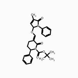 CC1=CC(O/C=C2\CCC(c3ccccc3)N(C(=O)OC(C)(C)C)C2=O)N(c2ccccc2)C1=O